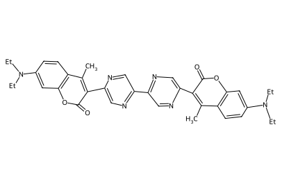 CCN(CC)c1ccc2c(C)c(-c3cnc(-c4cnc(-c5c(C)c6ccc(N(CC)CC)cc6oc5=O)cn4)cn3)c(=O)oc2c1